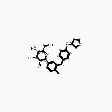 Cc1ccc([C@@H]2O[C@H](CO)[C@@H](O)[C@H](O)[C@H]2O)cc1Cc1ccc(O[C@H]2CCOC2)cc1